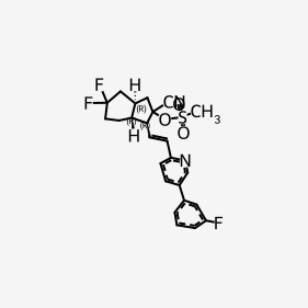 CS(=O)(=O)OC1(C#N)C[C@@H]2CC(F)(F)CC[C@H]2[C@@H]1C=Cc1ccc(-c2cccc(F)c2)cn1